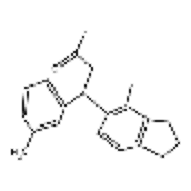 CC(=O)CC(c1cccc(N)c1)c1ccc2c(c1C)CCC2